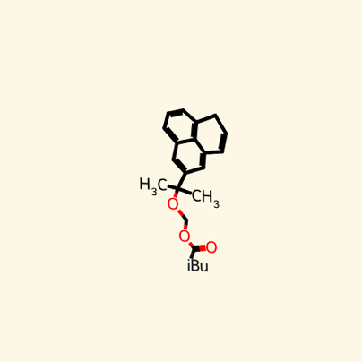 CCC(C)C(=O)OCOC(C)(C)c1cc2c3c(cccc3c1)CC=C2